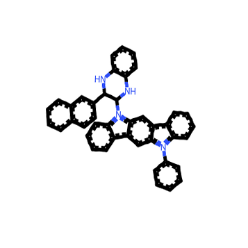 c1ccc(-n2c3ccccc3c3cc4c(cc32)c2ccccc2n4C2Nc3ccccc3NC2c2ccc3ccccc3c2)cc1